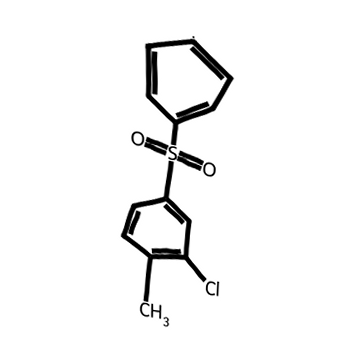 Cc1ccc(S(=O)(=O)c2cc[c]cc2)cc1Cl